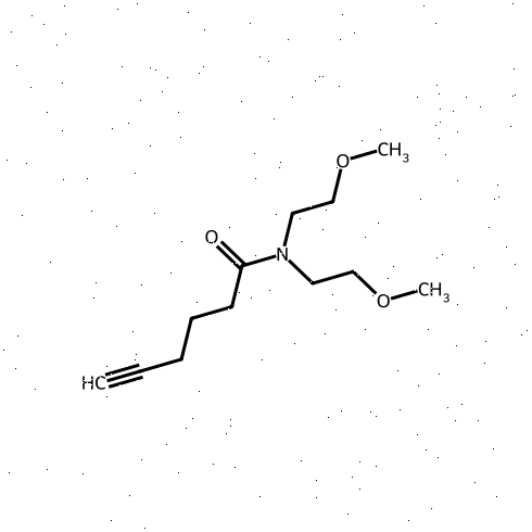 C#CCCCC(=O)N(CCOC)CCOC